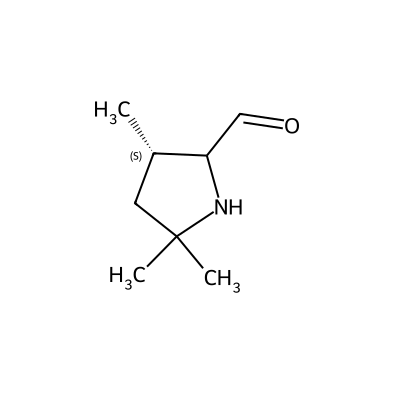 C[C@H]1CC(C)(C)NC1C=O